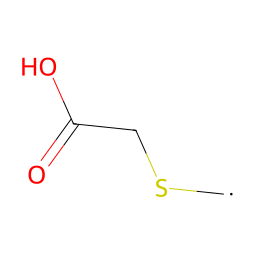 [CH2]SCC(=O)O